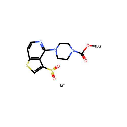 CC(C)(C)OC(=O)N1CCN(c2nccc3scc([S-](=O)=O)c23)CC1.[Li+]